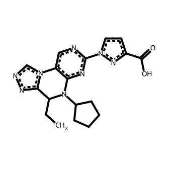 CCC1c2nncn2-c2cnc(-n3ccc(C(=O)O)n3)nc2N1C1CCCC1